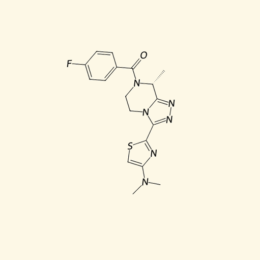 C[C@@H]1c2nnc(-c3nc(N(C)C)cs3)n2CCN1C(=O)c1ccc(F)cc1